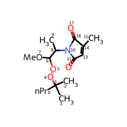 CCCC(C)(C)OOC(OC)C(C)N1C(=O)C=C(C)C1=O